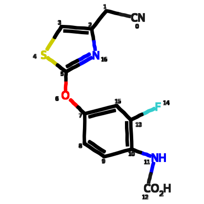 N#CCc1csc(Oc2ccc(NC(=O)O)c(F)c2)n1